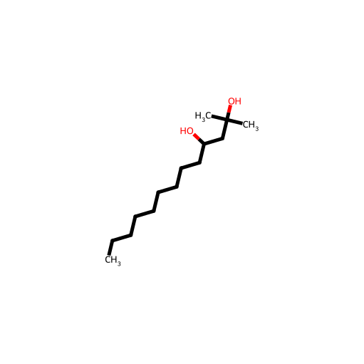 CCCCCCCCCC(O)CC(C)(C)O